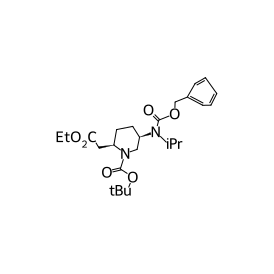 CCOC(=O)C[C@H]1CC[C@@H](N(C(=O)OCc2ccccc2)C(C)C)CN1C(=O)OC(C)(C)C